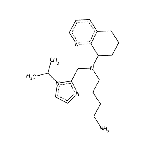 CC(C)n1ccnc1CN(CCCCN)C1CCCc2cccnc21